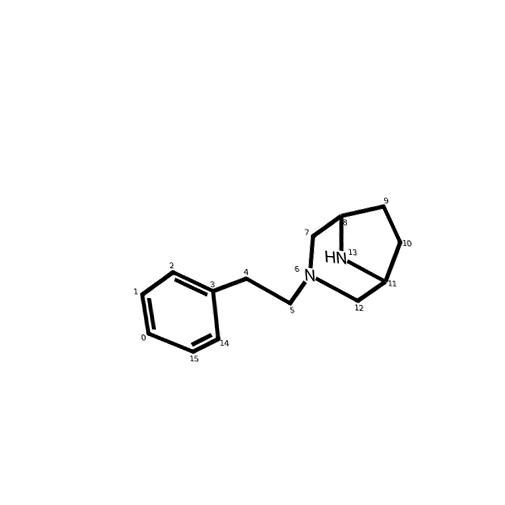 c1ccc(CCN2CC3CCC(C2)N3)cc1